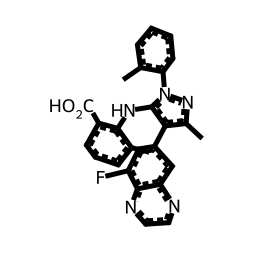 Cc1ccccc1-n1nc(C)c(-c2cc(F)c3nccnc3c2)c1Nc1c(C)cccc1C(=O)O